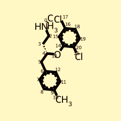 CNCC[C@@H](Cc1ccc(C)cc1)Oc1cc(Cl)ccc1Cl